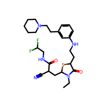 CCN1C(=O)C(CCNc2cccc(CCN3CCCCC3)c2)SC1CC(C#N)C(=O)NCC(F)F